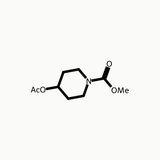 COC(=O)N1CCC(OC(C)=O)CC1